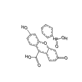 O=C(O)c1c2ccc(=O)cc-2oc2cc(O)ccc12.O=[PH](O)c1ccccc1